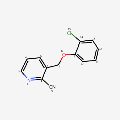 N#Cc1ncccc1COc1ccccc1Cl